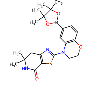 CC1(C)Cc2nc(N3CCOc4ccc(B5OC(C)(C)C(C)(C)O5)cc43)sc2C(=O)N1